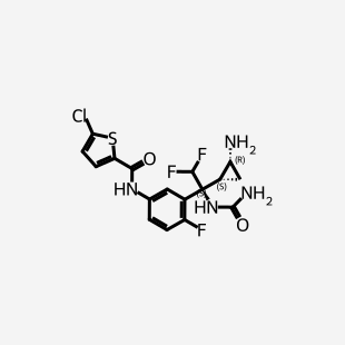 NC(=O)N[C@@](c1cc(NC(=O)c2ccc(Cl)s2)ccc1F)(C(F)F)[C@H]1C[C@H]1N